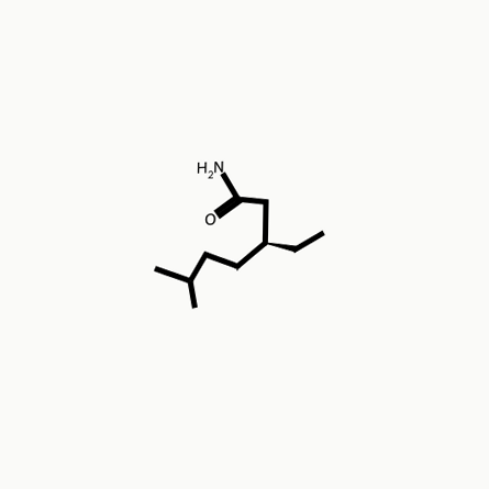 CC[C@@H]([CH]CC(C)C)CC(N)=O